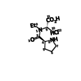 CCN(C(=O)[C@@H]1CCCN1)[C@@H](C)C(=O)O.Cl